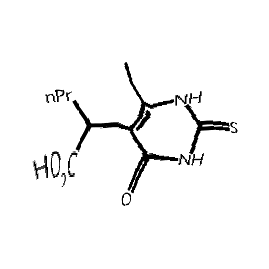 CCCC(C(=O)O)c1c(C)[nH]c(=S)[nH]c1=O